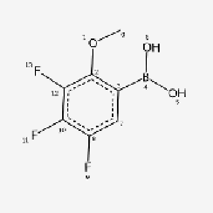 COc1c(B(O)O)cc(F)c(F)c1F